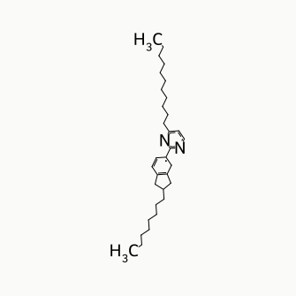 CCCCCCCCCCCc1ccnc([C]2C=CC3=C(C2)CC(CCCCCCCC)C3)n1